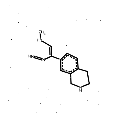 CN/C=C(\N=N)c1ccc2c(c1)CNCC2